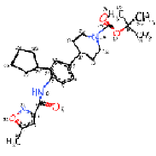 Cc1cc(C(=O)Nc2ccc(C3CCN(C(=O)OC(C)(C)C)CC3)cc2C2CCCC2)no1